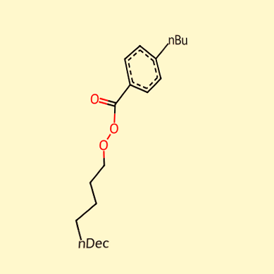 [CH2]CCCCCCCCCCCCCOOC(=O)c1ccc(CCCC)cc1